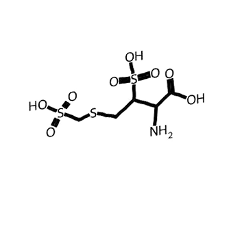 NC(C(=O)O)C(CSCS(=O)(=O)O)S(=O)(=O)O